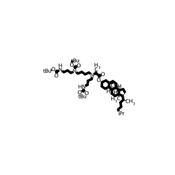 CC(C)CCC[C@@H](C)[C@H]1CC[C@H]2[C@@H]3CC=C4C[C@@H](OC(=O)C(C)N(CCCCN(CCCNC(=O)OC(C)(C)C)C(=O)OC(C)(C)C)CCCNC(=O)OC(C)(C)C)CC[C@]4(C)[C@H]3CC[C@]12C